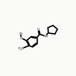 CCOc1cc(C(=O)NC2CCCC2)ccc1[N+](=O)[O-]